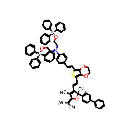 N#CC(C#N)=C1OC(c2ccc(-c3ccccc3)cc2)(C(F)(F)F)C(/C=C/c2sc(/C=C/c3ccc(N(CCO[Si](c4ccccc4)(c4ccccc4)c4ccccc4)CCO[Si](c4ccccc4)(c4ccccc4)c4ccccc4)cc3)c3c2OCCO3)=C1C#N